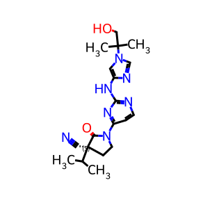 CC(C)[C@]1(C#N)CCN(c2ccnc(Nc3cn(C(C)(C)CO)cn3)n2)C1=O